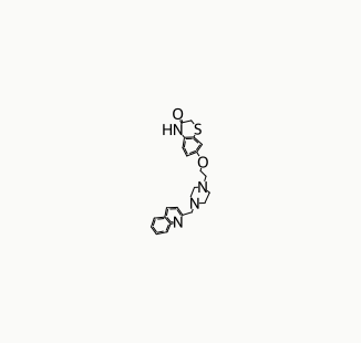 O=C1CSc2cc(OCCN3CCN(Cc4ccc5ccccc5n4)CC3)ccc2N1